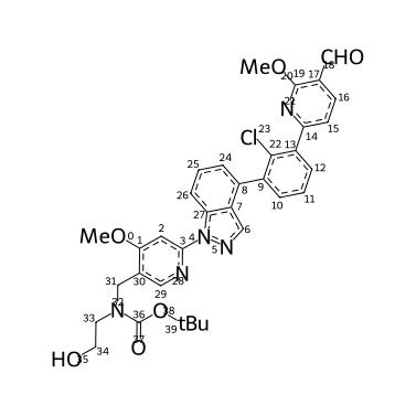 COc1cc(-n2ncc3c(-c4cccc(-c5ccc(C=O)c(OC)n5)c4Cl)cccc32)ncc1CN(CCO)C(=O)OC(C)(C)C